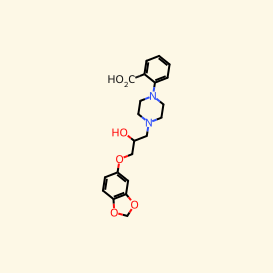 O=C(O)c1ccccc1N1CCN(CC(O)COc2ccc3c(c2)OCO3)CC1